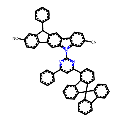 N#Cc1ccc2c(c1)C(c1ccccc1)c1cc3c4ccc(C#N)cc4n(-c4nc(-c5ccccc5)cc(-c5cccc6c5-c5ccccc5C65c6ccccc6-c6ccccc65)n4)c3cc1-2